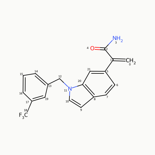 C=C(C(N)=O)c1ccc2ccn(Cc3cccc(C(F)(F)F)c3)c2c1